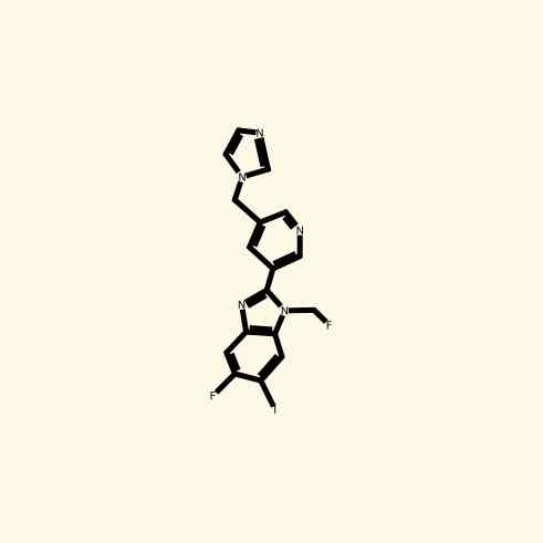 FCn1c(-c2cncc(Cn3ccnc3)c2)nc2cc(F)c(I)cc21